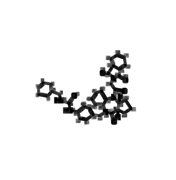 O=C(NCc1ccccc1)Nc1ccc(CN2C(=O)[C@H]3CCC[C@H]3N(C(=O)CN3C(=O)c4ccccc4C3=O)c3ccccc32)cc1